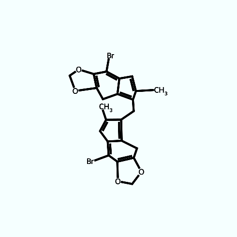 CC1=CC2=C(Br)C3=C(CC2=C1CC1=C2CC4=C(OCO4)C(Br)=C2C=C1C)OCO3